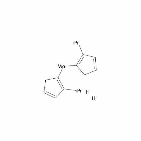 CC(C)C1=[C]([Mo][C]2=C(C(C)C)C=CC2)CC=C1.[H-].[H-]